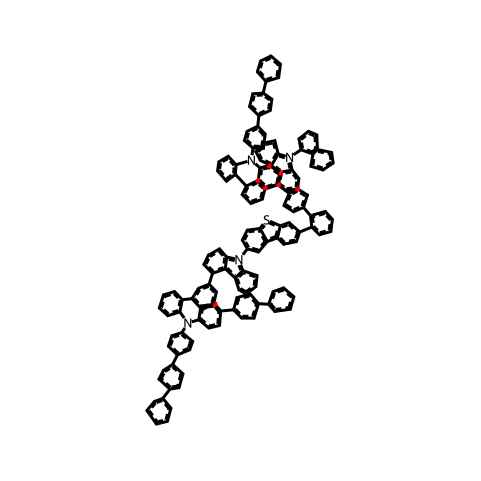 c1ccc(-c2ccc(-c3ccc(N(c4ccc(-c5ccc(-c6ccccc6)cc5)cc4)c4ccccc4-c4cccc(-c5cccc6c5c5ccccc5n6-c5ccc6sc7cc(-c8ccccc8-c8ccc(-c9ccc(N(c%10ccc(-c%11ccc(-c%12ccccc%12)cc%11)cc%10)c%10ccccc%10-c%10cccc(-c%11cccc%12c%11c%11ccccc%11n%12-c%11cccc%12ccccc%11%12)c%10)cc9)cc8)ccc7c6c5)c4)cc3)cc2)cc1